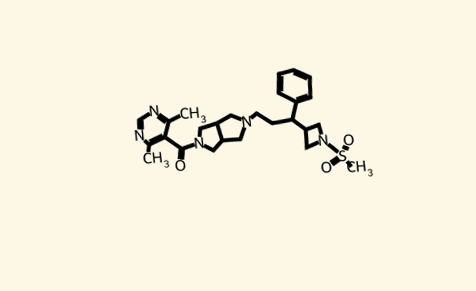 Cc1ncnc(C)c1C(=O)N1CC2CN(CCC(c3ccccc3)C3CN(S(C)(=O)=O)C3)CC2C1